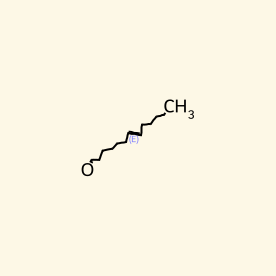 CCCCC/C=C/CCCCCC=O